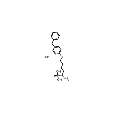 Br.NC(CCCCOc1ccc(Cc2ccccc2)cc1)P(=O)(O)O